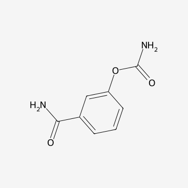 NC(=O)Oc1cccc(C(N)=O)c1